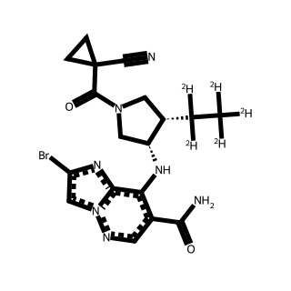 [2H]C([2H])([2H])C([2H])([2H])[C@H]1CN(C(=O)C2(C#N)CC2)C[C@H]1Nc1c(C(N)=O)cnn2cc(Br)nc12